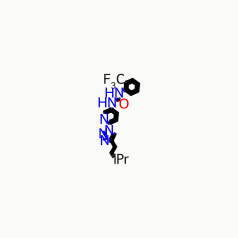 CC(C)CCc1cn(-c2ccc(NC(=O)Nc3ccccc3C(F)(F)F)cn2)nn1